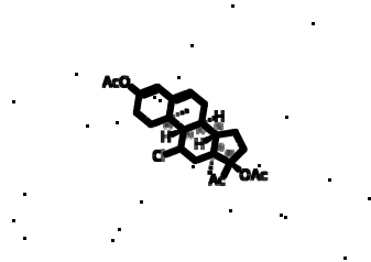 CC(=O)OC1=CC2=CC[C@@H]3[C@H](C(Cl)C[C@@]4(C)[C@H]3CC[C@]4(OC(C)=O)C(C)=O)[C@@]2(C)CC1